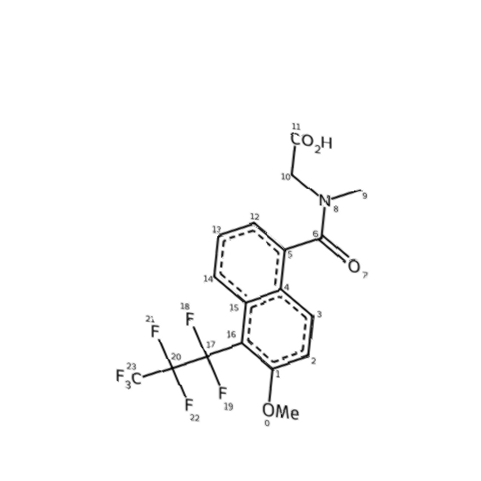 COc1ccc2c(C(=O)N(C)CC(=O)O)cccc2c1C(F)(F)C(F)(F)C(F)(F)F